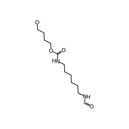 [O]CCCCOC(=O)NCCCCCCN[C]=O